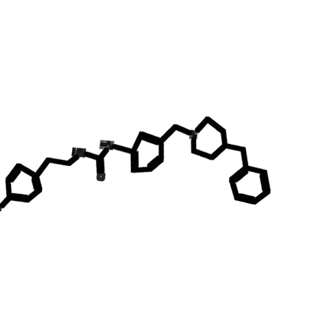 O=C(NCCc1ccc(F)cc1)Nc1cccc(CN2CCC(Cc3ccccc3)CC2)c1